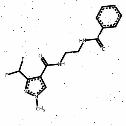 Cn1cc(C(=O)NCCNC(=O)c2ccccc2)c(C(F)F)n1